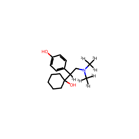 [2H]C([2H])([2H])N(CC([2H])(c1ccc(O)cc1)C1(O)CCCCC1)C([2H])([2H])[2H]